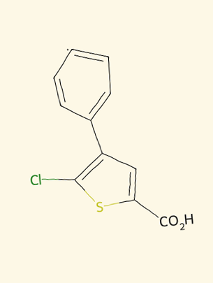 O=C(O)c1cc(-c2cc[c]cc2)c(Cl)s1